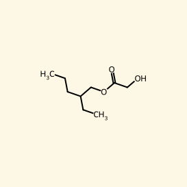 CCCC(CC)COC(=O)CO